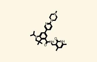 Cc1cc(C)c(CNC(=O)c2cc(-c3ccc(N4CCN(C)CC4)nc3)cc3c2C(C)(C)CN3C(C)C)c(=O)[nH]1